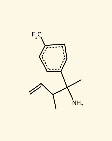 C=CC(C)C(C)(N)c1ccc(C(F)(F)F)cc1